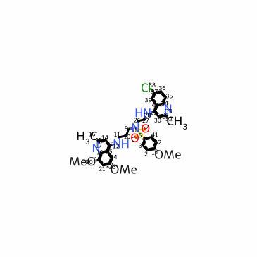 COc1ccc(S(=O)(=O)N(CCCNc2cc(C)nc3c(OC)cc(OC)cc23)CCNc2cc(C)nc3ccc(Cl)cc23)cc1